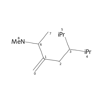 C=C(CC(C(C)C)C(C)C)C(C)NC